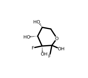 O[C@@H]1COC(O)(F)[C@@](O)(F)[C@@H]1O